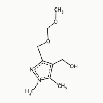 COCOCc1nn(C)c(C)c1CO